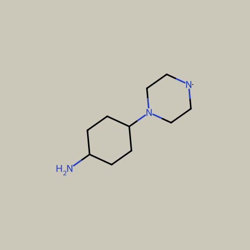 NC1CCC(N2CC[N]CC2)CC1